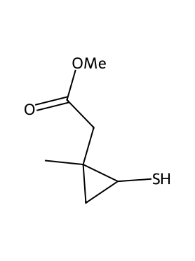 COC(=O)CC1(C)CC1S